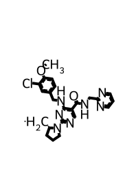 [CH2][C@H]1CCCN1c1ncc(C(=O)NCc2ncccn2)c(NCc2ccc(OC)c(Cl)c2)n1